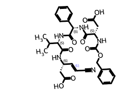 CC(C)[C@H](NC(=O)[C@@H](NC(=O)[C@H](CC(=O)O)NC(=O)OCc1ccccc1)c1ccccc1)C(=O)N[C@H](/C=C/C#N)CC(=O)O